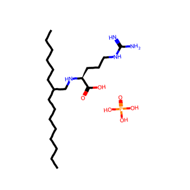 CCCCCCCCC(CCCCCC)CN[C@@H](CCCNC(=N)N)C(=O)O.O=P(O)(O)O